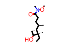 CC[C@@]1(C)C(O)C[C@@H]1[C@H](C)CCC(=O)N(C)OC